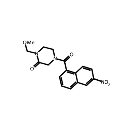 COCN1CCN(C(=O)c2cccc3cc([N+](=O)[O-])ccc23)CC1=O